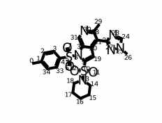 Cc1ccc(S(=O)(=O)n2c(S(=O)(=O)N3CCCCC3)cc3c(-c4ncn(C)n4)c(C)ncc32)cc1